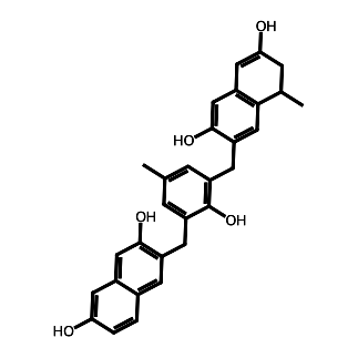 Cc1cc(Cc2cc3c(cc2O)C=C(O)CC3C)c(O)c(Cc2cc3ccc(O)cc3cc2O)c1